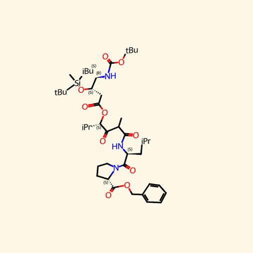 CC[C@H](C)[C@@H](NC(=O)OC(C)(C)C)[C@H](CC(=O)O[C@H](C(=O)C(C)C(=O)N[C@@H](CC(C)C)C(=O)N1CCC[C@H]1C(=O)OCc1ccccc1)C(C)C)O[Si](C)(C)C(C)(C)C